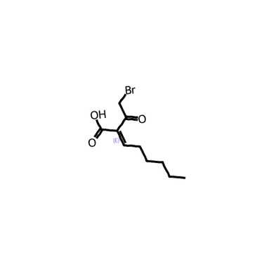 CCCCC/C=C(/C(=O)O)C(=O)CBr